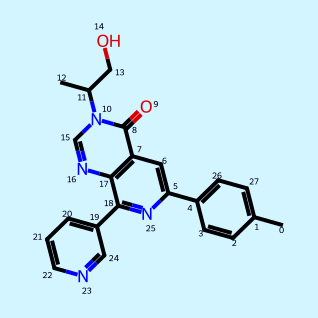 Cc1ccc(-c2cc3c(=O)n(C(C)CO)cnc3c(-c3cccnc3)n2)cc1